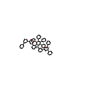 c1ccc(-c2cccc(-c3cccc(-c4cccc5c4c4c(-c6ccccc6)c(-c6ccccc6)c(-c6ccccc6)c(-c6ccccc6)c4n5-c4cccc(-c5cc(-c6ccccc6)nc(-c6ccccc6)c5)c4)c3)c2)cc1